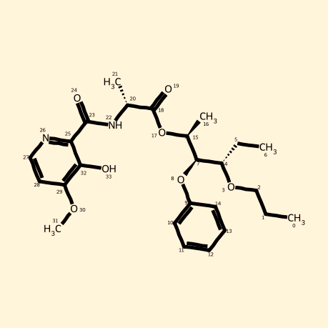 CCCO[C@@H](CC)[C@@H](Oc1ccccc1)[C@H](C)OC(=O)[C@@H](C)NC(=O)c1nccc(OC)c1O